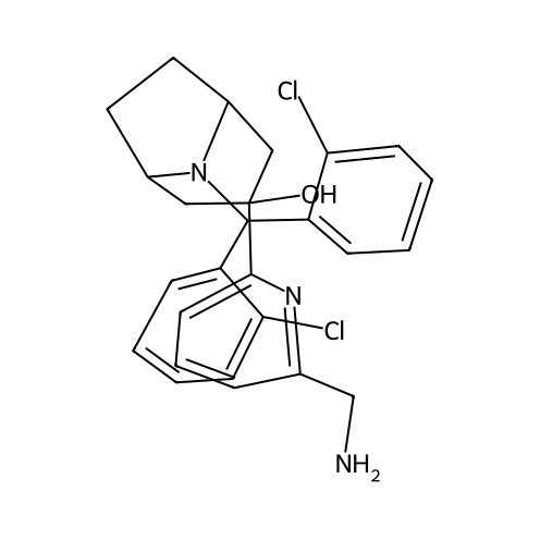 NCc1cccc(C2(O)CC3CCC(C2)N3C(c2ccccc2Cl)c2ccccc2Cl)n1